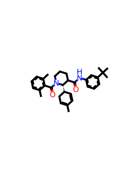 CC1=CCC([C@H]2C(C(=O)Nc3cccc(C(C)(C)C)c3)CCCN2C(=O)c2c(C)cccc2C)C=C1